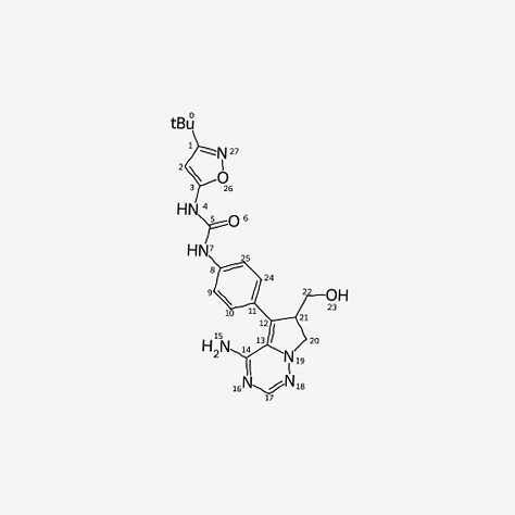 CC(C)(C)c1cc(NC(=O)Nc2ccc(C3=C4C(N)=NC=NN4CC3CO)cc2)on1